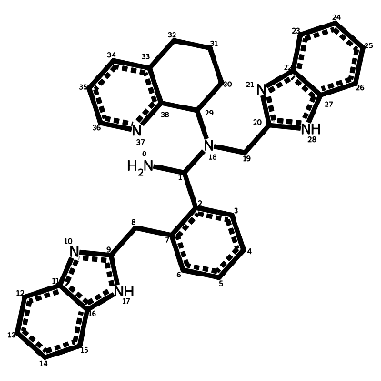 NC(c1ccccc1Cc1nc2ccccc2[nH]1)N(Cc1nc2ccccc2[nH]1)C1CCCc2cccnc21